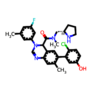 Cc1cc(F)cc(N2C=Nc3cc(C)c(-c4cc(O)ccc4Cl)cc3C2C(=O)N(C)C[C@@H]2CCCN2)c1